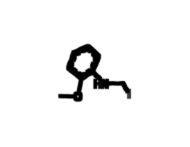 COc1ccccc1NCI